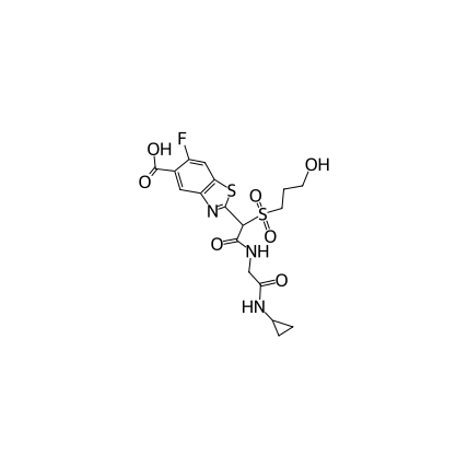 O=C(CNC(=O)C(c1nc2cc(C(=O)O)c(F)cc2s1)S(=O)(=O)CCCO)NC1CC1